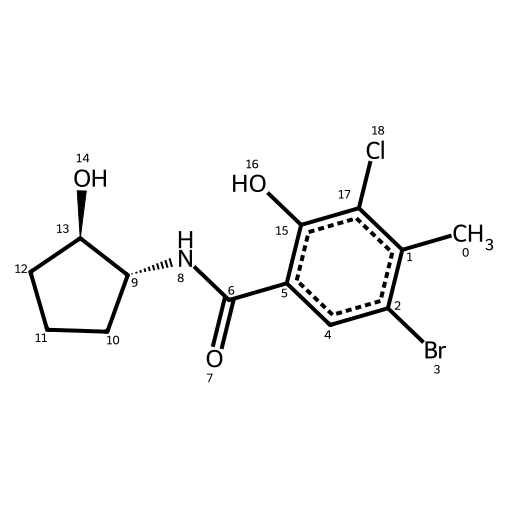 Cc1c(Br)cc(C(=O)N[C@@H]2CCC[C@H]2O)c(O)c1Cl